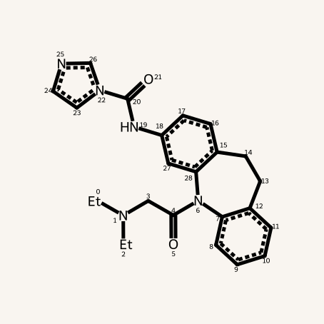 CCN(CC)CC(=O)N1c2ccccc2CCc2ccc(NC(=O)n3ccnc3)cc21